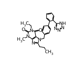 CCCc1nc2c(c(=O)n(CC)c(=O)n2C)n1Cc1ccc(-c2ccccc2-c2nnn[nH]2)cc1